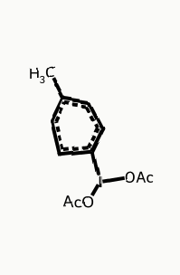 CC(=O)OI(OC(C)=O)c1ccc(C)cc1